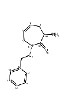 N[C@@H]1CC=CCN(OCc2ccccc2)C1=O